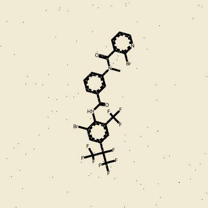 CN(C(=O)c1cccnc1Br)c1cccc(C(=O)Nc2c(Br)cc(C(F)(C(F)(F)F)C(F)(F)F)cc2C(F)(F)F)c1